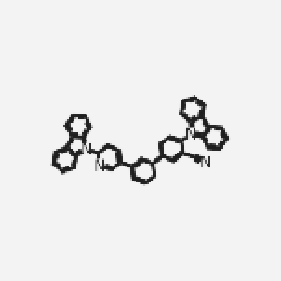 N#CC1=CC(C2C=C(C3=CCC(n4c5ccccc5c5ccccc54)N=C3)C=CC2)CC=C1n1c2ccccc2c2ccccc21